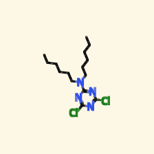 CCCCCCN(CCCCCC)c1nc(Cl)nc(Cl)n1